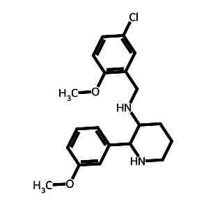 COc1cccc(C2NCCCC2NCc2cc(Cl)ccc2OC)c1